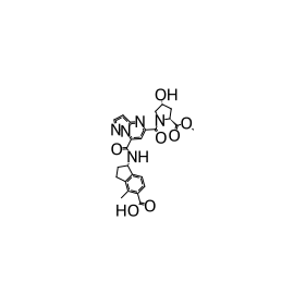 COC(=O)[C@@H]1C[C@@H](O)CN1C(=O)c1cc(C(=O)N[C@H]2CCc3c2ccc(C(=O)O)c3C)n2nccc2n1